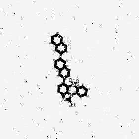 CCc1nc2ccc(-c3ccc4cc(-c5ccc6ccccc6c5)ccc4c3)c3c2n1-c1ccccc1S3(=O)=O